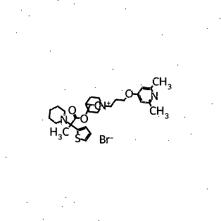 Cc1cc(OCCC[N+]23CCC(CC2)C(OC(=O)C(C)(c2cccs2)N2CCCCC2)C3)cc(C)n1.[Br-]